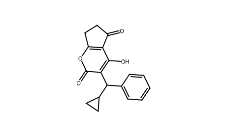 O=C1CCc2oc(=O)c(C(c3ccccc3)C3CC3)c(O)c21